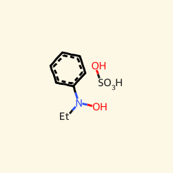 CCN(O)c1ccccc1.O=S(=O)(O)O